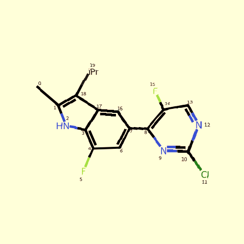 Cc1[nH]c2c(F)cc(-c3nc(Cl)ncc3F)cc2c1C(C)C